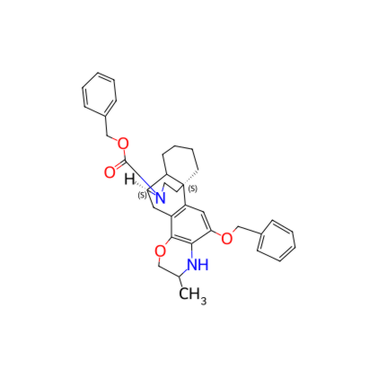 CC1COc2c3c(cc(OCc4ccccc4)c2N1)[C@]12CCCCC1[C@H](C3)N(C(=O)OCc1ccccc1)CC2